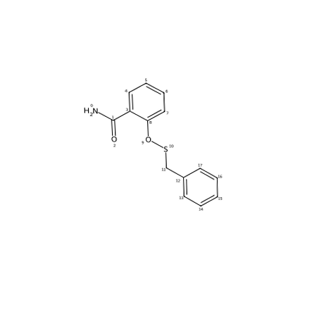 NC(=O)c1ccccc1OSCc1ccccc1